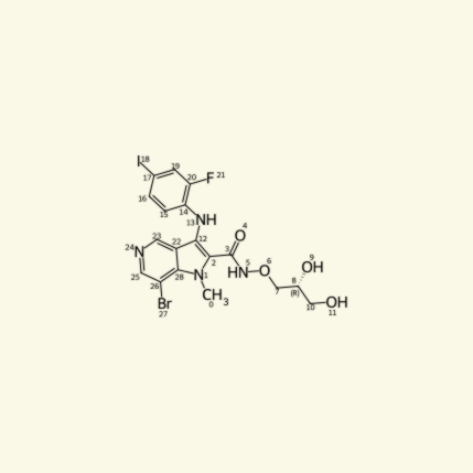 Cn1c(C(=O)NOC[C@H](O)CO)c(Nc2ccc(I)cc2F)c2cncc(Br)c21